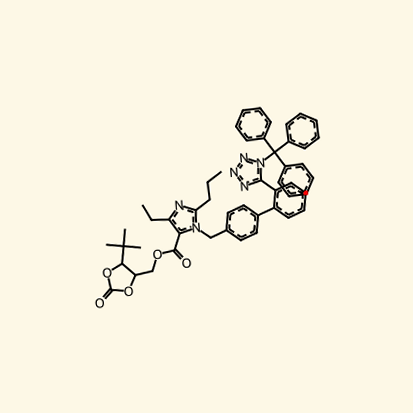 CCCc1nc(CC)c(C(=O)OCC2OC(=O)OC2C(C)(C)C)n1Cc1ccc(-c2ccccc2-c2nnnn2C(c2ccccc2)(c2ccccc2)c2ccccc2)cc1